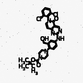 CC(C)(C)OC(=O)N1CCN(c2ccc(Nc3ncc4c(=O)n(-c5c(Cl)cccc5Cl)ccc4n3)cc2CO)CC1